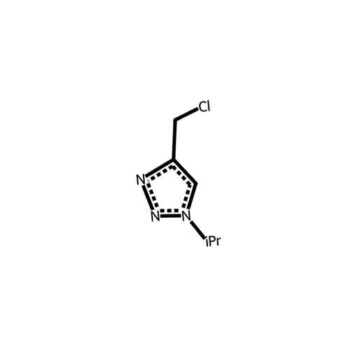 CC(C)n1cc(CCl)nn1